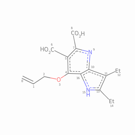 C=CCOc1c(C(=O)O)c(C(=O)O)nc2c(CC)c(CC)[nH]c12